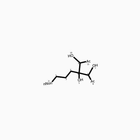 CCCCCCCCCCCCC(O)(C(O)C(C)=O)C(O)C(C)=O